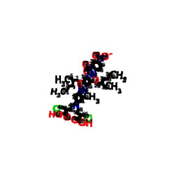 CCCCC(CC)COc1cc(N=Nc2ccc([N+](=O)[O-])cc2[N+](=O)[O-])c(OCC(CC)CCCC)cc1N=Nc1ccc(N(CCC(CCl)C(=O)O)CCC(CCl)C(=O)O)cc1C